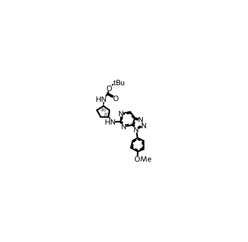 COc1ccc(-n2nnc3cnc(N[C@H]4CC[C@@H](NC(=O)OC(C)(C)C)C4)nc32)cc1